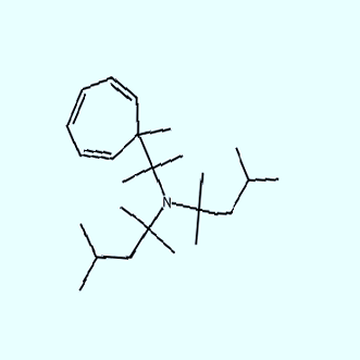 CC(C)CC(C)(C)N(C(C)(C)CC(C)C)C(C)(C)C1(C)C=CC=CC=C1